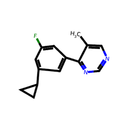 Cc1cncnc1-c1cc(F)cc(C2CC2)c1